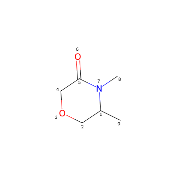 CC1COCC(=O)N1C